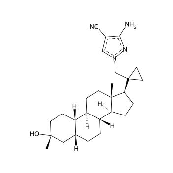 C[C@@]1(O)CC[C@H]2[C@H](CC[C@@H]3[C@@H]2CC[C@]2(C)[C@@H](C4(Cn5cc(C#N)c(N)n5)CC4)CC[C@@H]32)C1